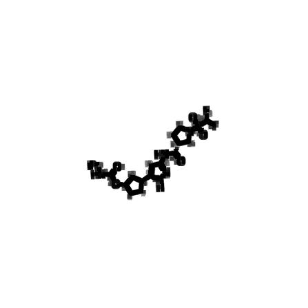 CC(C)NC(=O)O[C@@H]1CC[C@H](c2cc(NC(=O)[C@@H]3CCN(S(=O)(=O)C(F)F)C3)n[nH]2)C1